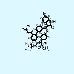 CN(C)CCN(c1ccc(N/C(=C2\C(=O)Nc3cc(F)ccc32)c2cccc(-c3ccccc3CCC(=O)O)c2)cc1)S(C)(=O)=O